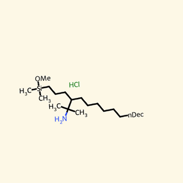 CCCCCCCCCCCCCCCCC(CCC[Si](C)(C)OC)C(C)(C)N.Cl